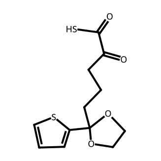 O=C(S)C(=O)CCCC1(c2cccs2)OCCO1